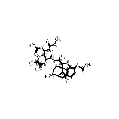 C=CC1C2Cc3ccc(OC(C)=O)c4c3C1(CCN2C)C(C(C)S[C@@H]1O[C@H](C(=O)OC)C(OC(C)=O)[C@H](OC(C)=O)C1OC(C)=O)O4